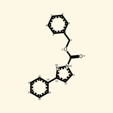 O=C(OCc1ccccc1)n1ccc(-c2ccccc2)n1